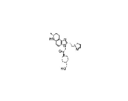 C[C@H]1CCc2c(ccc3c2nc(CCn2cccn2)n3CC(=O)N2CCC(CO)CC2)N1